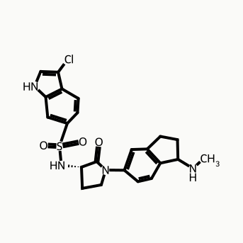 CNC1CCc2cc(N3CC[C@H](NS(=O)(=O)c4ccc5c(Cl)c[nH]c5c4)C3=O)ccc21